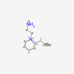 CC(C)(C)Cc1cccc[n+]1CCN